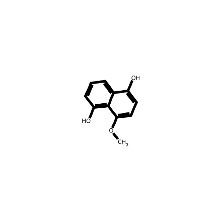 COc1ccc(O)c2cccc(O)c12